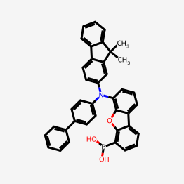 CC1(C)c2ccccc2-c2ccc(N(c3ccc(-c4ccccc4)cc3)c3cccc4c3oc3c(B(O)O)cccc34)cc21